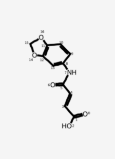 O=C(O)/C=C/C(=O)Nc1ccc2c(c1)OCO2